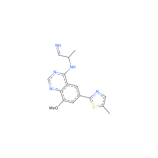 COc1cc(-c2ncc(C)s2)cc2c(NC(C)C=N)ncnc12